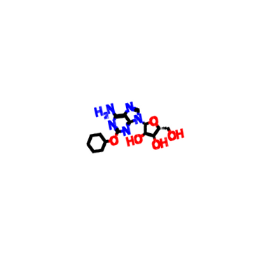 Nc1nc(OC2CCCCC2)nc2c1ncn2[C@@H]1O[C@H](CO)[C@@H](O)[C@H]1O